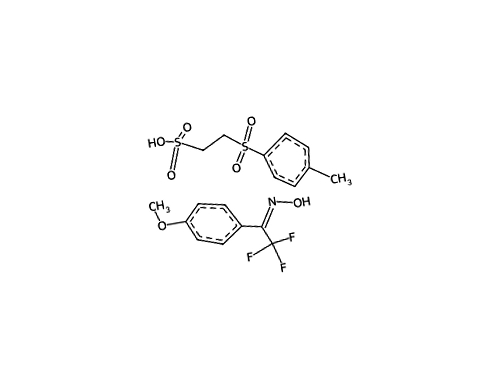 COc1ccc(C(=NO)C(F)(F)F)cc1.Cc1ccc(S(=O)(=O)CCS(=O)(=O)O)cc1